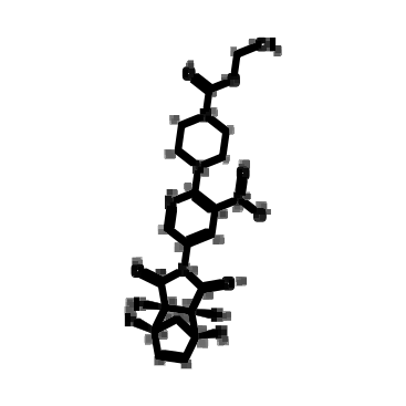 CCOC(=O)N1CCN(c2ncc(N3C(=O)[C@@H]4[C@H](C3=O)[C@@H]3C=C[C@H]4C3)cc2[N+](=O)[O-])CC1